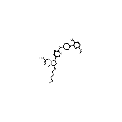 COCCCO[C@H]1CN(c2cnc(O[C@@H]3CCN(c4cc(OC)ncc4Cl)C[C@H]3C)nc2)[C@@H](CC(=O)O)[C@@H]1C